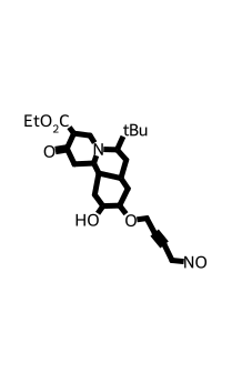 CCOC(=O)C1CN2C(CC1=O)C1CC(O)C(OCC#CCN=O)CC1CC2C(C)(C)C